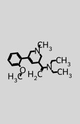 C=C(C1C=C(c2ccccc2OC)CN(C)C1)N(CC)CC